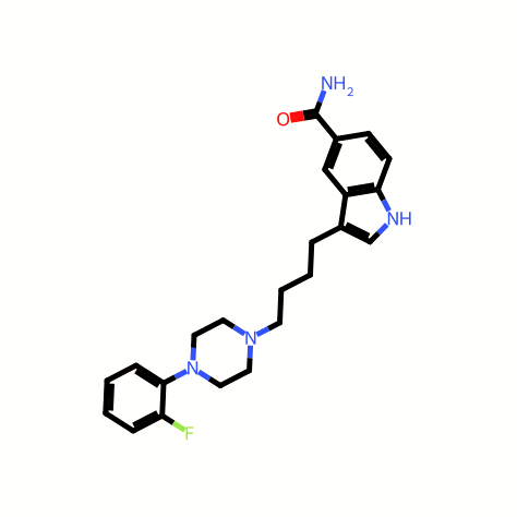 NC(=O)c1ccc2[nH]cc(CCCCN3CCN(c4ccccc4F)CC3)c2c1